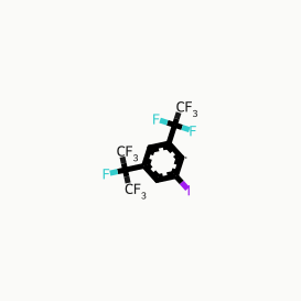 FC(F)(F)C(F)(F)c1[c]c(I)cc(C(F)(C(F)(F)F)C(F)(F)F)c1